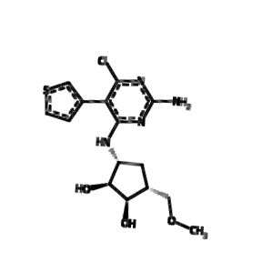 COC[C@H]1C[C@@H](Nc2nc(N)nc(Cl)c2-c2ccsc2)[C@H](O)[C@@H]1O